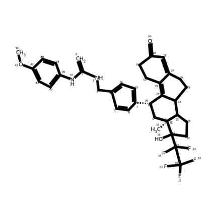 C=C(NCc1ccc([C@H]2C[C@@]3(C)C(CCC3(O)C(F)(F)C(F)(F)F)C3CCC4=CC(=O)CCC4=C32)cc1)Nc1ccc(OC)cc1